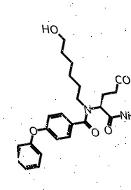 NC(=O)[C@H](CCC(=O)O)N(CCCCCCO)C(=O)c1ccc(Oc2ccccc2)cc1